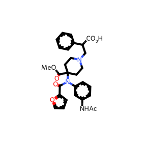 COC(=O)C1(N(C(=O)c2ccco2)c2cccc(NC(C)=O)c2)CCN(CC(C(=O)O)c2ccccc2)CC1